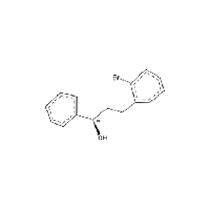 O[C@H](CCc1ccccc1Br)c1ccccc1